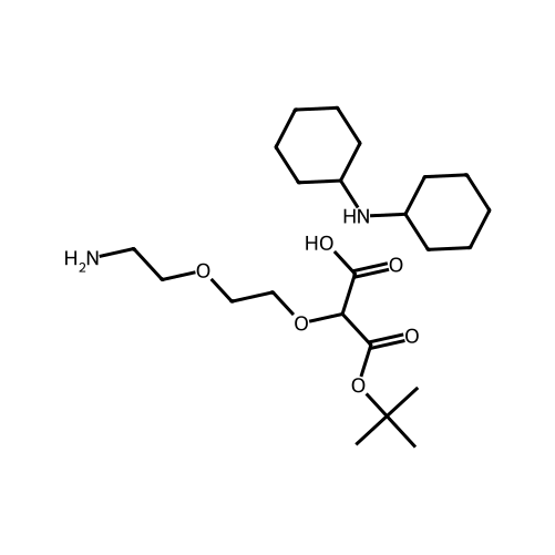 C1CCC(NC2CCCCC2)CC1.CC(C)(C)OC(=O)C(OCCOCCN)C(=O)O